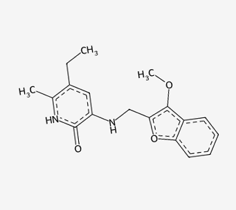 CCc1cc(NCc2oc3ccccc3c2OC)c(=O)[nH]c1C